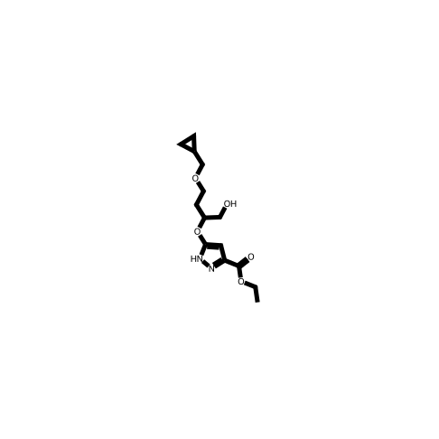 CCOC(=O)c1cc(OC(CO)CCOCC2CC2)[nH]n1